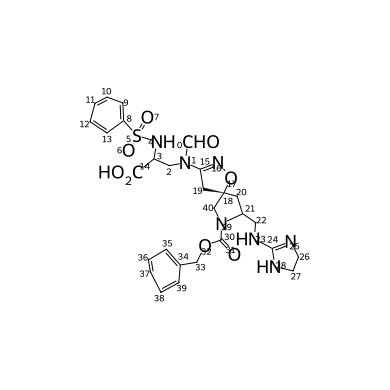 O=CN(CC(NS(=O)(=O)c1ccccc1)C(=O)O)C1=NO[C@]2(C1)CC(CNC1=NCCN1)N(C(=O)OCc1ccccc1)C2